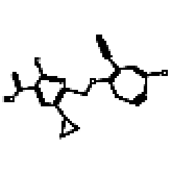 N#CC1=C(OCc2cc(F)c(C(=O)O)cc2C2CC2)CC#CC(Cl)=C1